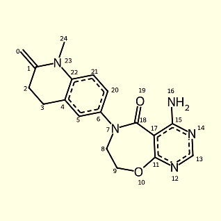 C=C1CCc2cc(N3CCOc4ncnc(N)c4C3=O)ccc2N1C